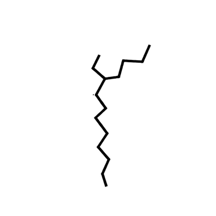 CCCCCCC[CH]C(CC)CCCC